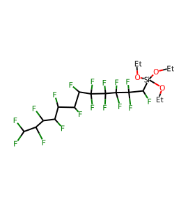 CCO[Si](OCC)(OCC)C(F)C(F)(F)C(F)(F)C(F)(F)C(F)(F)C(F)C(F)C(F)C(F)C(F)C(F)C(F)F